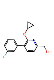 OCc1ccc(-c2cccc(F)c2)c(OC2CC2)n1